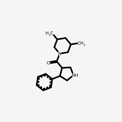 CC1CC(C)CN(C(=O)C2CNCC2c2ccccc2)C1